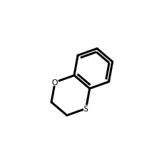 C1=C=CC2=C(C=1)OCCS2